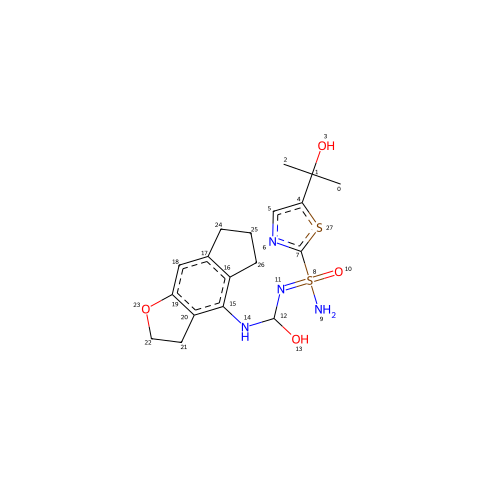 CC(C)(O)c1cnc(S(N)(=O)=NC(O)Nc2c3c(cc4c2CCO4)CCC3)s1